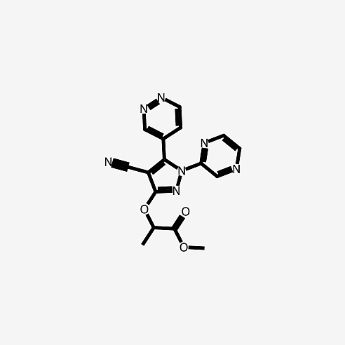 COC(=O)C(C)Oc1nn(-c2cnccn2)c(-c2ccnnc2)c1C#N